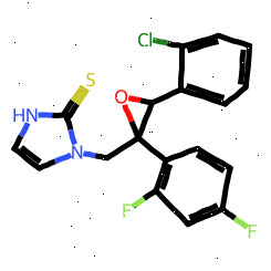 Fc1ccc(C2(Cn3cc[nH]c3=S)OC2c2ccccc2Cl)c(F)c1